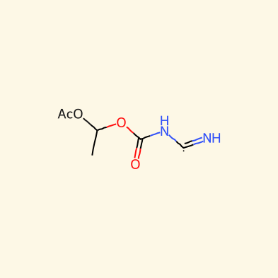 CC(=O)OC(C)OC(=O)N[C]=N